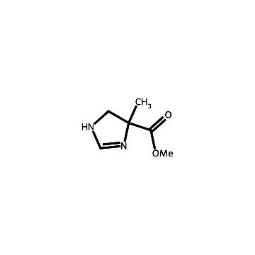 COC(=O)C1(C)CNC=N1